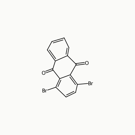 O=C1c2ccccc2C(=O)c2c(Br)ccc(Br)c21